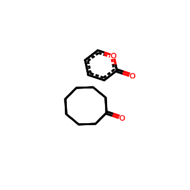 O=C1CCCCCCC1.O=c1cccco1